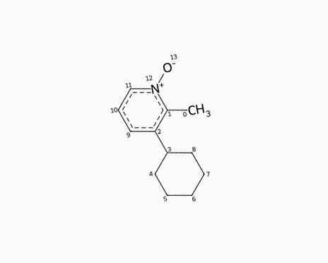 Cc1c(C2CCCCC2)ccc[n+]1[O-]